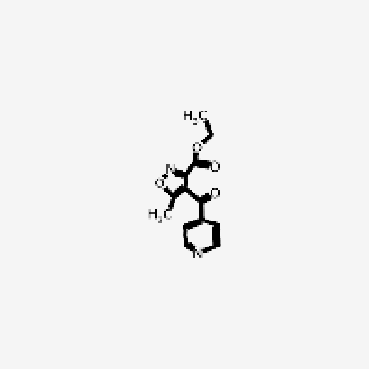 CCOC(=O)c1noc(C)c1C(=O)c1ccncc1